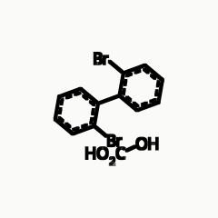 Brc1ccccc1-c1ccccc1Br.O=C(O)O